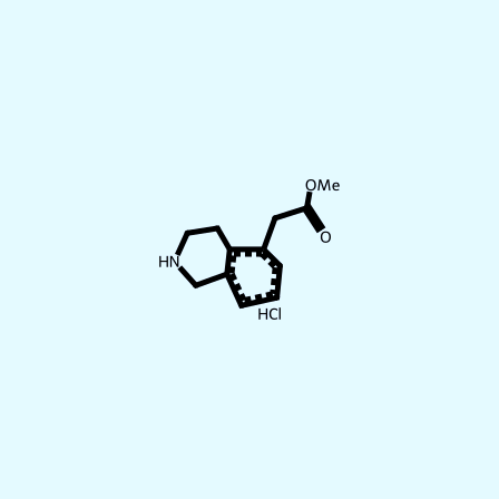 COC(=O)Cc1cccc2c1CCNC2.Cl